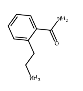 NCCc1ccccc1C(N)=O